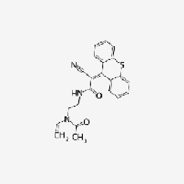 C=CN(CCNC(=O)C(C#N)=C1c2ccccc2Sc2ccccc21)C(C)=O